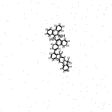 CC1(C)C2=CC3C(C=C2c2cccc(C4=CC=C(C5=C(C6=CCCC=C6)NC(c6ccccc6)C(c6ccccc6)N5)CC4)c21)c1ccccc1C3(C)C